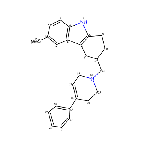 CSc1ccc2[nH]c3c(c2c1)CC(CN1CC=C(c2ccccc2)CC1)CC3